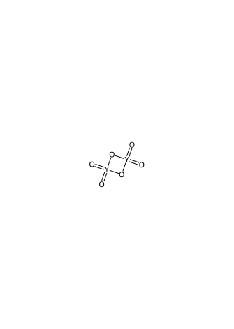 [O]=[Y]1(=[O])[O][Y](=[O])(=[O])[O]1